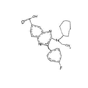 CCN(c1nc2cc(C(=O)O)ccc2nc1-c1ccc(F)cc1)C1CCCCC1